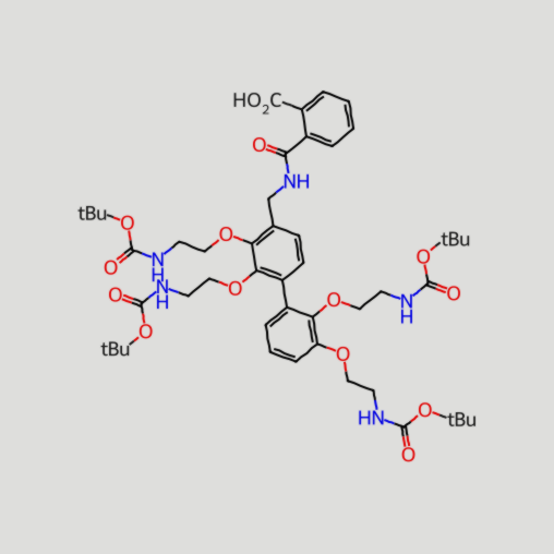 CC(C)(C)OC(=O)NCCOc1cccc(-c2ccc(CNC(=O)c3ccccc3C(=O)O)c(OCCNC(=O)OC(C)(C)C)c2OCCNC(=O)OC(C)(C)C)c1OCCNC(=O)OC(C)(C)C